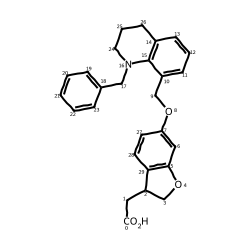 O=C(O)CC1COc2cc(OCc3cccc4c3N(Cc3ccccc3)CCC4)ccc21